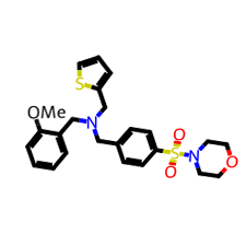 COc1ccccc1CN(Cc1ccc(S(=O)(=O)N2CCOCC2)cc1)Cc1cccs1